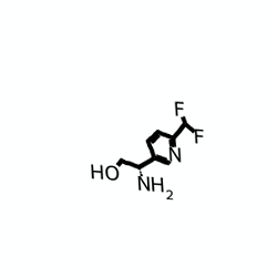 N[C@H](CO)c1ccc(C(F)F)nc1